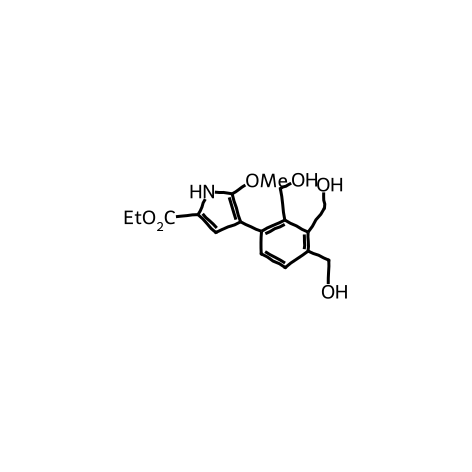 CCOC(=O)c1cc(-c2ccc(CO)c(CO)c2CO)c(OC)[nH]1